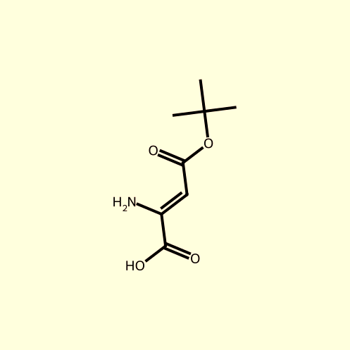 CC(C)(C)OC(=O)C=C(N)C(=O)O